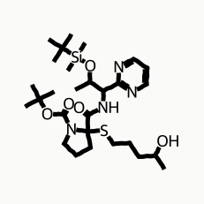 CC(O)CCCSC1(C(=O)NC(c2ncccn2)C(C)O[Si](C)(C)C(C)(C)C)CCCN1C(=O)OC(C)(C)C